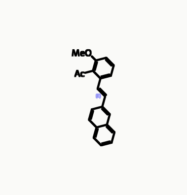 COc1cccc(/C=C/c2ccc3ccccc3c2)c1C(C)=O